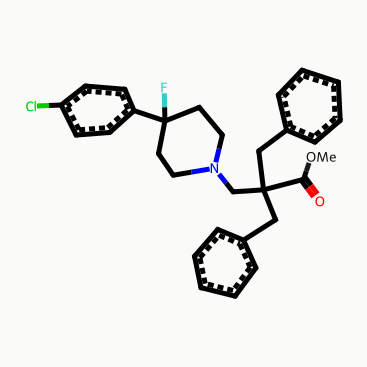 COC(=O)C(Cc1ccccc1)(Cc1ccccc1)CN1CCC(F)(c2ccc(Cl)cc2)CC1